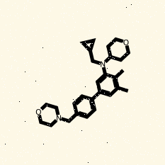 Cc1cc(-c2ccc(CN3CCOCC3)cc2)cc(N(CC2CC2)C2CCOCC2)c1C